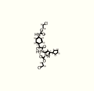 C[C@H](C(=O)Nc1cc(C2CCCC2)nn1C(=O)OCCCl)c1ccc(NC(=O)OCCCl)cc1